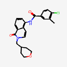 Cc1cc(C(=O)Nc2cccc3c(=O)n(CC4CCOCC4)ccc23)ccc1Cl